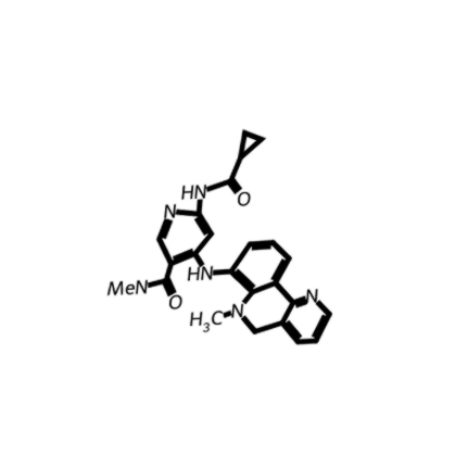 CNC(=O)c1cnc(NC(=O)C2CC2)cc1Nc1cccc2c1N(C)Cc1cccnc1-2